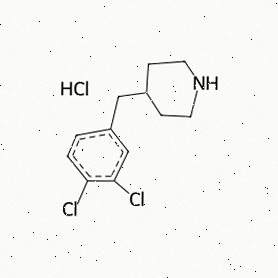 Cl.Clc1ccc(CC2CCNCC2)cc1Cl